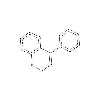 C1=C(c2ccccc2)c2ncccc2SC1